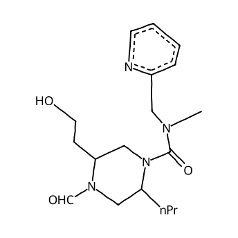 CCCC1CN(C=O)C(CCO)CN1C(=O)N(C)Cc1ccccn1